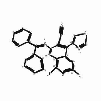 N#Cc1c(N=C(c2ccccc2)c2ccccc2)nc2c(F)cc(Cl)cc2c1-c1cscn1